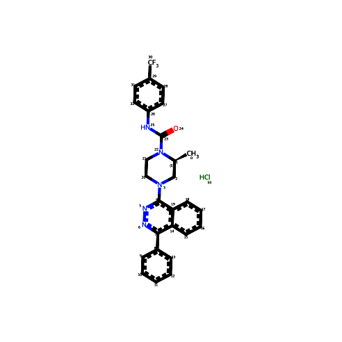 C[C@H]1CN(c2nnc(-c3ccccc3)c3ccccc23)CCN1C(=O)Nc1ccc(C(F)(F)F)cc1.Cl